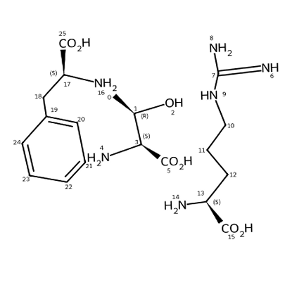 C[C@@H](O)[C@H](N)C(=O)O.N=C(N)NCCC[C@H](N)C(=O)O.N[C@@H](Cc1ccccc1)C(=O)O